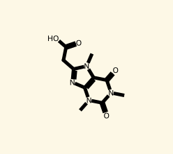 Cn1c(=O)c2c(nc(CC(=O)O)n2C)n(C)c1=O